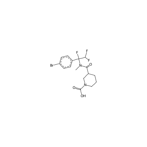 CN(C(=O)C1CCCN(C(=O)O)C1)C(F)(c1ccc(Br)cc1)C(F)F